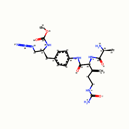 C=C(CCNC(N)=O)[C@H](NC(=O)[C@@H](N)C(C)C)C(=O)Nc1ccc(C[C@@H](CN=[N+]=[N-])NC(=O)OC(C)(C)C)cc1